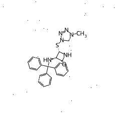 CN1CN(S[C@@H]2NC(=O)[C@H]2NC(c2ccccc2)(c2ccccc2)c2ccccc2)N=N1